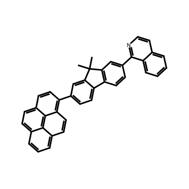 CC1(C)c2cc(-c3nccc4ccccc34)ccc2-c2ccc(-c3ccc4ccc5cccc6ccc3c4c56)cc21